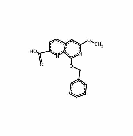 COc1cc2ccc(C(=O)O)nc2c(OCc2ccccc2)n1